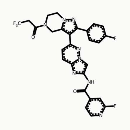 O=C(Nc1cn2nc(-c3c(-c4ccc(F)cc4)nn4c3CN(C(=O)CC(F)(F)F)CC4)ccc2n1)c1ccnc(F)c1